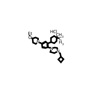 CCOC1CCN(c2ccc(N3CCN(CC4CCC4)CC3)c(C3CCC(C)(C)CC3)c2)CC1.Cl